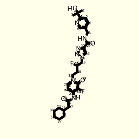 CC(C)(O)c1ccc(CNC(=O)c2cn(CC(F)CCn3ccc(NC(=O)CC4CCCCC4)c(F)c3=O)nn2)cn1